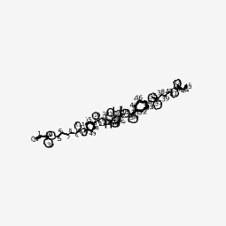 C=CC(=O)OCCCCCC(=O)Oc1ccc(C(=O)O[C@@H]2CO[C@H]3[C@@H]2OC[C@@H]3OC(=O)c2ccc(OC(=O)CCCOC(=O)C=C)cc2)cc1